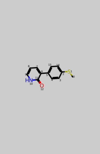 CSc1ccc(-c2ccc[nH]c2=O)cc1